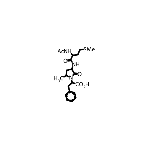 CSCCC(NC(C)=O)C(=O)NC1CC(C)N(C(Cc2ccccc2)C(=O)O)C1=O